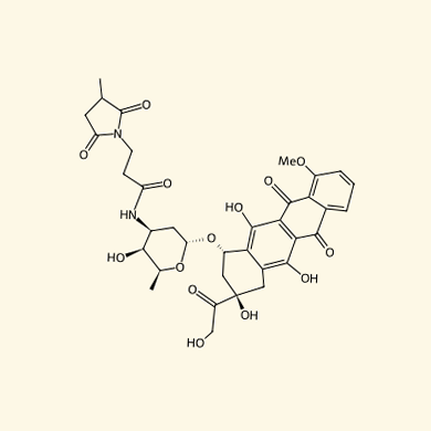 COc1cccc2c1C(=O)c1c(O)c3c(c(O)c1C2=O)C[C@](O)(C(=O)CO)C[C@@H]3O[C@H]1C[C@H](NC(=O)CCN2C(=O)CC(C)C2=O)[C@H](O)[C@H](C)O1